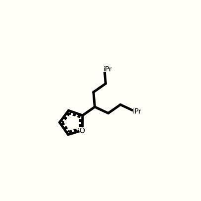 CC(C)CCC(CCC(C)C)c1ccco1